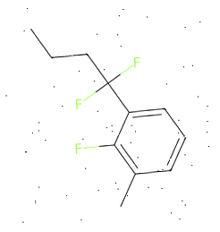 CCCC(F)(F)c1cccc(C)c1F